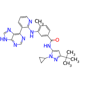 Cc1ccc(C(=O)Nc2cc(C(C)(C)C)nn2C2CC2)cc1Nc1ncccc1-c1ncnc2[nH]cnc12